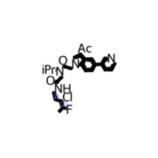 CC(=O)c1cn(CC(=O)N(CC(=O)N/C=C\C(Cl)=C(/C)F)C(C)C)c2ccc(-c3cccnc3)cc12